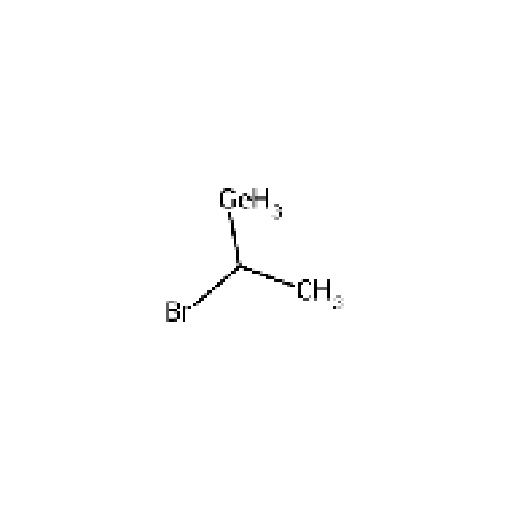 C[CH]([GeH3])Br